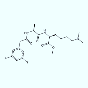 COC(=O)[C@H](CCCCN(C)C)NC(=O)[C@H](C)NC(=O)Cc1cc(F)cc(F)c1